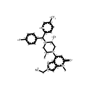 CC[C@@H]1CN(c2cc(=O)n(C)c3cn(CC#N)nc23)[C@@H](C)CN1C(c1ccc(F)cc1)c1ccc(C(F)(F)F)cn1